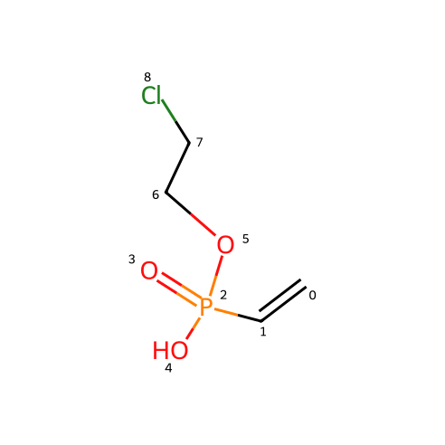 C=CP(=O)(O)OCCCl